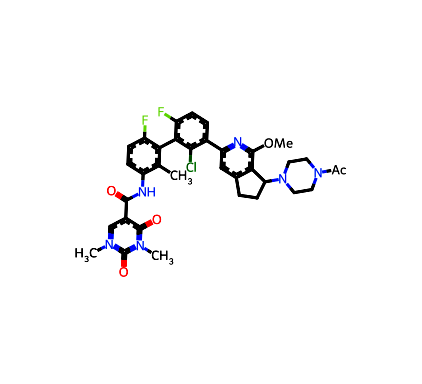 COc1nc(-c2ccc(F)c(-c3c(F)ccc(NC(=O)c4cn(C)c(=O)n(C)c4=O)c3C)c2Cl)cc2c1C(N1CCN(C(C)=O)CC1)CC2